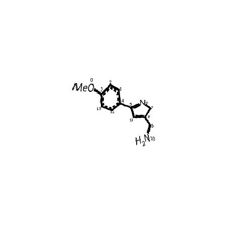 COc1ccc(C2=NCC(CN)=C2)cc1